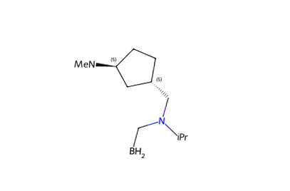 BCN(C[C@H]1CC[C@H](NC)C1)C(C)C